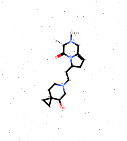 C[C@H]1C(=O)N2C(=CCC2CCN2CCC3(CC3)C(O)C2)CN1C(=O)O